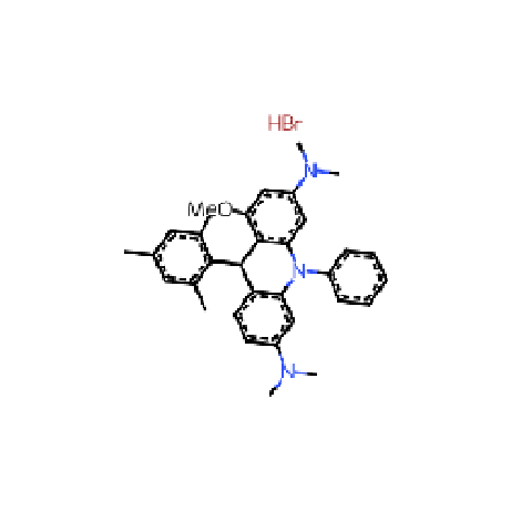 Br.COc1cc(N(C)C)cc2c1C(c1c(C)cc(C)cc1C)c1ccc(N(C)C)cc1N2c1ccccc1